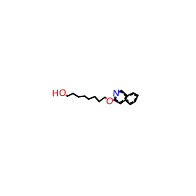 OCCCCCCCCOc1cc2ccccc2cn1